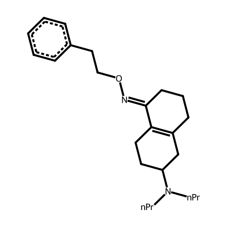 CCCN(CCC)C1CCC2=C(CCCC2=NOCCc2ccccc2)C1